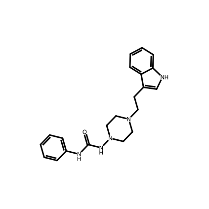 O=C(Nc1ccccc1)NN1CCN(CCc2c[nH]c3ccccc23)CC1